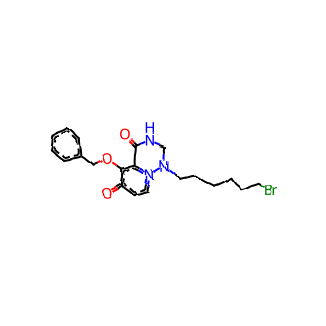 O=C1NCN(CCCCCCBr)n2ccc(=O)c(OCc3ccccc3)c21